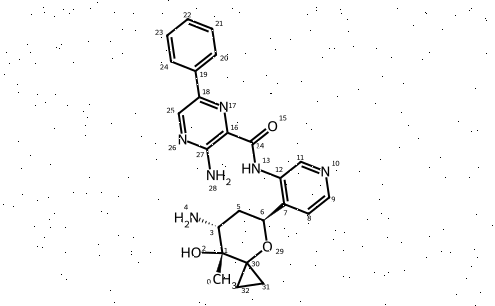 C[C@@]1(O)[C@H](N)C[C@@H](c2ccncc2NC(=O)c2nc(-c3ccccc3)cnc2N)OC12CC2